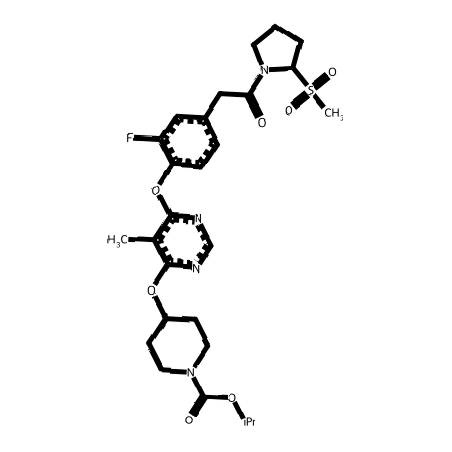 Cc1c(Oc2ccc(CC(=O)N3CCCC3S(C)(=O)=O)cc2F)ncnc1OC1CCN(C(=O)OC(C)C)CC1